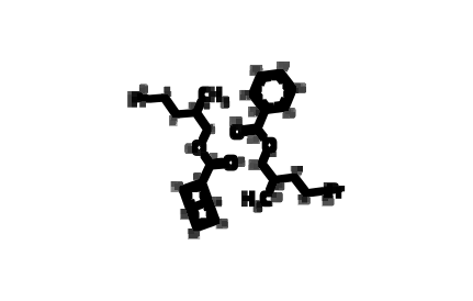 CC(C)CCC(C)COC(=O)c1cc2ccc1-2.CC(C)CCC(C)COC(=O)c1ccccc1